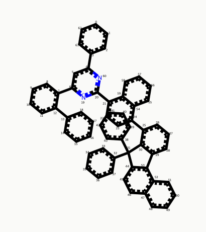 c1ccc(-c2cc(-c3ccccc3-c3ccccc3)nc(-c3ccc(-c4cccc5c4C(c4ccccc4)(c4ccccc4)c4ccc6ccccc6c4-5)c4ccccc34)n2)cc1